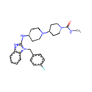 CNC(=O)N1CCC(N2CCC(Nc3nc4ccccc4n3Cc3ccc(F)cc3)CC2)CC1